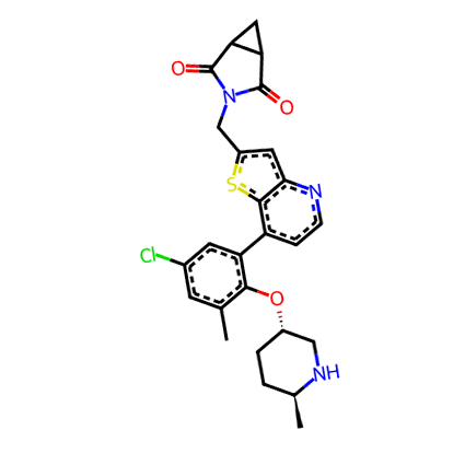 Cc1cc(Cl)cc(-c2ccnc3cc(CN4C(=O)C5CC5C4=O)sc23)c1O[C@H]1CC[C@H](C)NC1